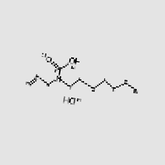 C=CCN(CCCCCCC)C(=O)O.Cl